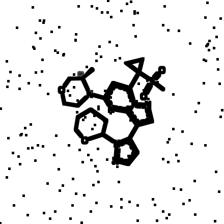 C[C@@H]1COCCN1c1cc(C2(S(C)(=O)=O)CC2)n2ncc(-c3ccnn3C3CCCCO3)c2n1